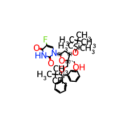 CC(C)(C)[Si](C)(C)O[C@H]1C[C@H](n2cc(F)c(=O)[nH]c2=O)O[C@]1(CO)CO[Si](c1ccccc1)(c1ccccc1)C(C)(C)C